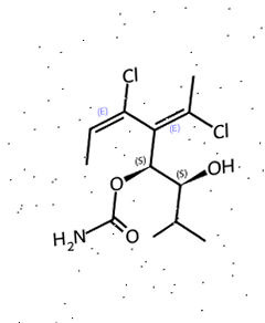 C/C=C(Cl)\C(=C(/C)Cl)[C@H](OC(N)=O)[C@@H](O)C(C)C